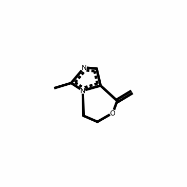 C=C1OCCn2c1cnc2C